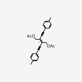 CC(=O)OC/C(C#Cc1ccc(C)cc1)=C(\C#Cc1ccc(C)cc1)COC(C)=O